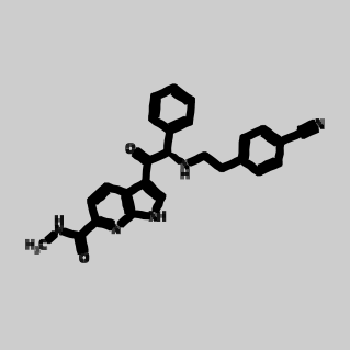 CNC(=O)c1ccc2c(C(=O)[C@H](NCCc3ccc(C#N)cc3)c3ccccc3)c[nH]c2n1